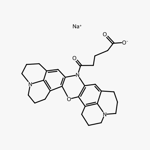 O=C([O-])CCCC(=O)N1c2cc3c4c(c2Oc2c1cc1c5c2CCCN5CCC1)CCCN4CCC3.[Na+]